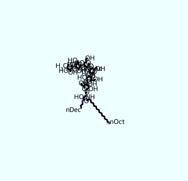 CCCCCCCC/C=C\CCCCCCCCCCCCCC(=O)N[C@@H](CO[C@@H]1OC(CO)[C@@H](O[C@@H]2OC(CO)[C@H](O[C@@H]3OC(CO)[C@H](O[C@@H]4OC(CO)[C@H](O)[C@H](O[C@@H]5OC(CO)[C@H](O)[C@H](O[C@H]6C(O)[C@H](O)C(C)O[C@H]6O)C5O)C4NC(C)=O)[C@H](O)C3O)[C@H](O)C2O)[C@H](O)C1O)[C@H](O)/C=C/CCCCCCCCCCCCC